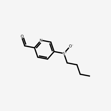 CCCC[S+]([O-])c1ccc(C=O)nc1